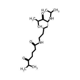 CC(C)N[C@H](CCCCNC(=O)CCCC(=O)C(C)C)C(=O)C(C)C